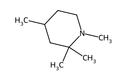 CC1CCN(C)C(C)(C)C1